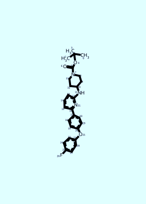 CC(C)(C)OC(=O)N1CCC(Nc2cccc(-c3ccc(Oc4ccc(F)cc4)cc3)n2)CC1